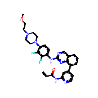 C=CC(=O)Nc1cc(-c2cccc3cnc(Nc4ccc(N5CCN(CCOC)CC5)c(F)c4F)nc23)ccn1